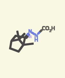 CC12CCC(C/C1=N/NC(=O)O)C2(C)C